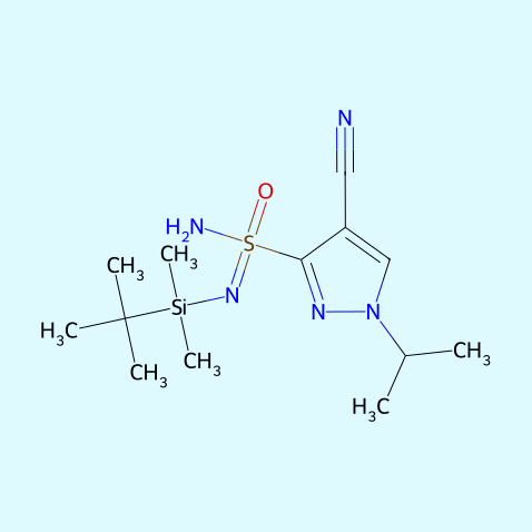 CC(C)n1cc(C#N)c(S(N)(=O)=N[Si](C)(C)C(C)(C)C)n1